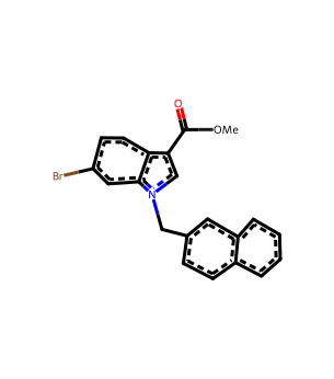 COC(=O)c1cn(Cc2ccc3ccccc3c2)c2cc(Br)ccc12